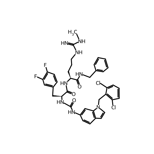 CNC(=N)NCCC[C@H](NC(=O)[C@H](Cc1ccc(F)c(F)c1)NC(=O)Nc1ccc2ccn(Cc3c(Cl)cccc3Cl)c2c1)C(=O)NCc1ccccc1